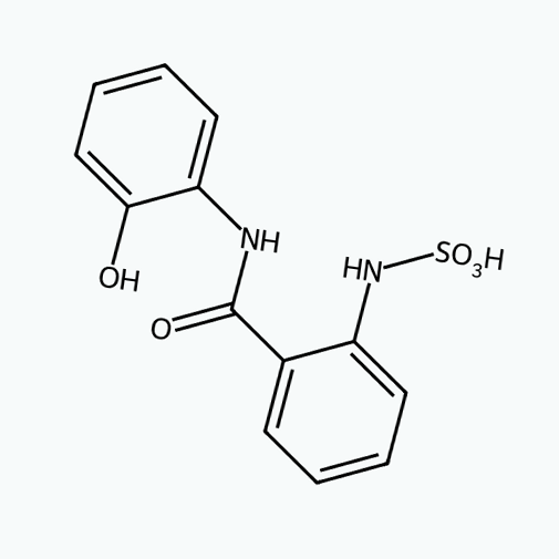 O=C(Nc1ccccc1O)c1ccccc1NS(=O)(=O)O